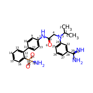 CC(C)N(CC(=O)Nc1ccc(-c2ccccc2S(N)(=O)=O)cc1)c1cccc(C(=N)N)c1